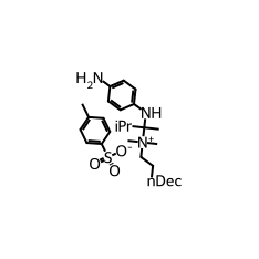 CCCCCCCCCCCC[N+](C)(C)C(C)(Nc1ccc(N)cc1)C(C)C.Cc1ccc(S(=O)(=O)[O-])cc1